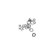 CC(C)(C)OC(=O)N1CCC(F)(F)C2(CCOC(=O)N2)C1CO[C@H]1CC[C@@H](c2ccccc2)CC1